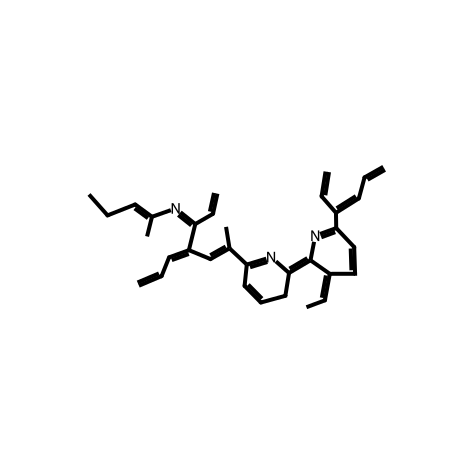 C=C/C=C(\C=C(/C)C1=N/C(=c2\nc(/C(C=C)=C/C=C)cc\c2=C\C)CC=C1)C(/C=C)=N\C(C)=C\CC